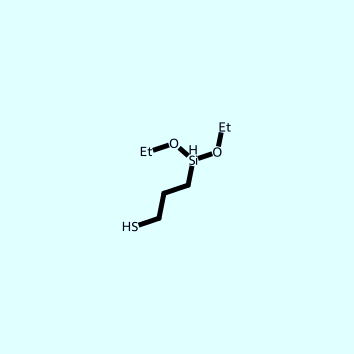 CCO[SiH](CCCS)OCC